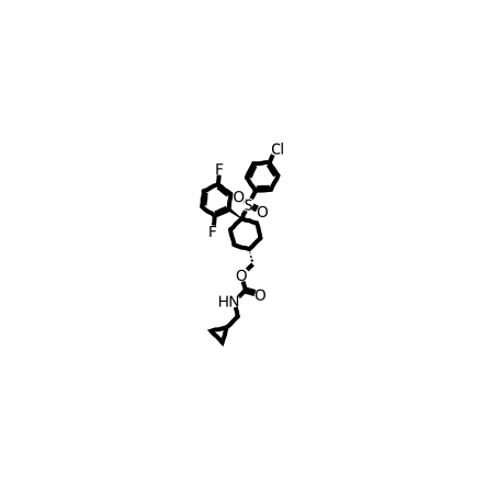 O=C(NCC1CC1)OC[C@H]1CC[C@@](c2cc(F)ccc2F)(S(=O)(=O)c2ccc(Cl)cc2)CC1